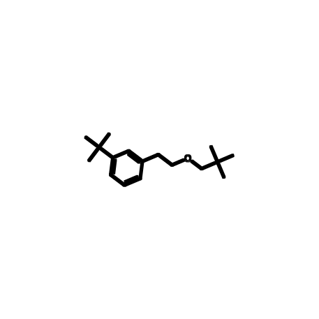 CC(C)(C)COCCc1cccc(C(C)(C)C)c1